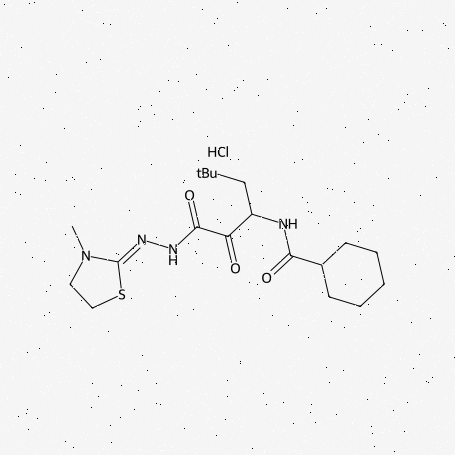 CN1CCS/C1=N\NC(=O)C(=O)C(CC(C)(C)C)NC(=O)C1CCCCC1.Cl